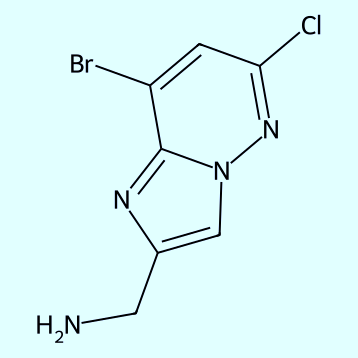 NCc1cn2nc(Cl)cc(Br)c2n1